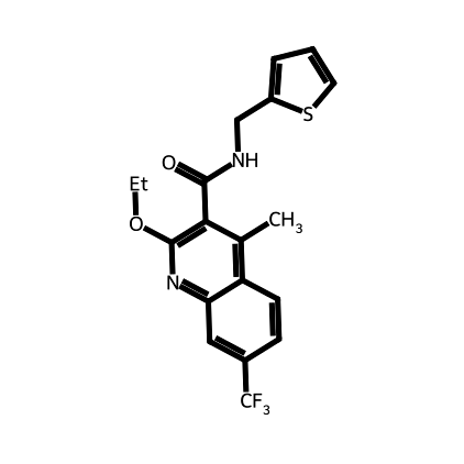 CCOc1nc2cc(C(F)(F)F)ccc2c(C)c1C(=O)NCc1cccs1